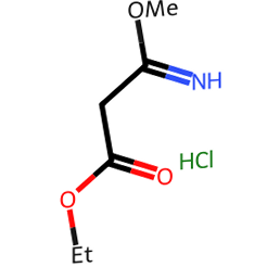 CCOC(=O)CC(=N)OC.Cl